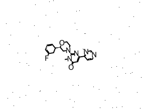 Cn1c(N2CCO[C@H](C3C=CC=C(F)C3)C2)nc(-c2ccncn2)cc1=O